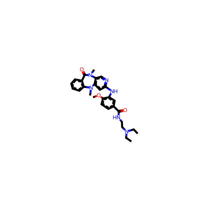 CCN(CC)CCNC(=O)c1ccc(OC)c(Nc2cc3c(cn2)N(C)C(=O)c2ccccc2N3C)c1